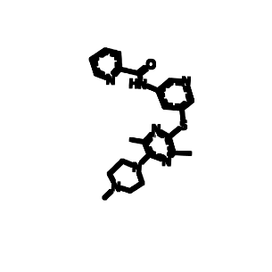 Cc1nc(N2CCN(C)CC2)c(C)nc1Sc1cncc(NC(=O)c2ccccn2)c1